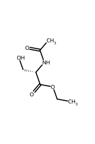 CCOC(=O)[C@H](CO)NC(C)=O